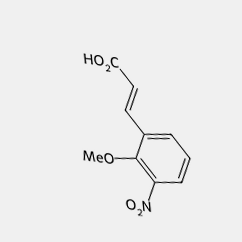 COc1c(/C=C/C(=O)O)cccc1[N+](=O)[O-]